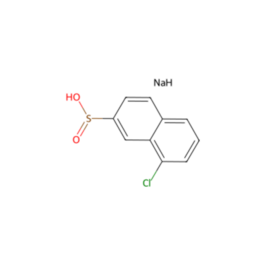 O=S(O)c1ccc2cccc(Cl)c2c1.[NaH]